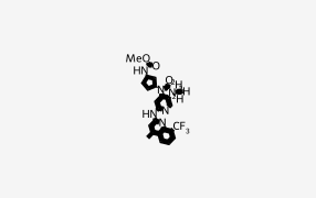 [2H]C([2H])([2H])n1c(=O)n([C@@H]2CC[C@@H](NC(=O)OC)C2)c2cc(Nc3cc(C)c4cccc(C(F)(F)F)c4n3)ncc21